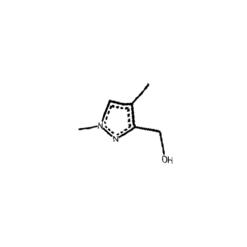 Cc1cn(C)nc1CO